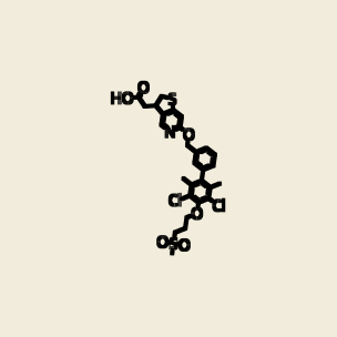 Cc1c(Cl)c(OCCCS(C)(=O)=O)c(Cl)c(C)c1-c1cccc(COc2cc3c(cn2)C(CC(=O)O)CS3)c1